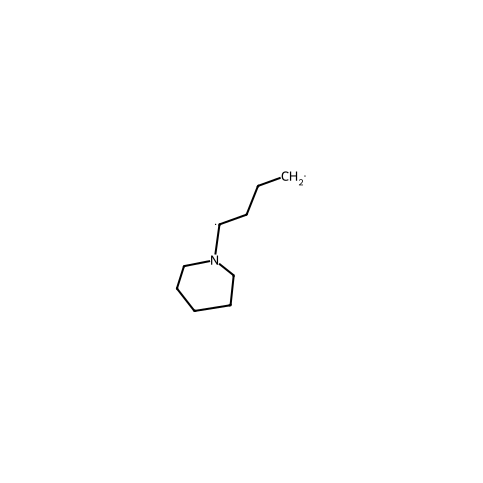 [CH2]CC[CH]N1CCCCC1